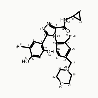 CC(C)c1cc(-c2nnc(C(=O)NC3CC3)n2-c2ccc(CN3CCOCC3)cc2F)c(O)cc1O